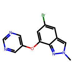 Cn1cc2cc(Br)cc(Oc3cncnc3)c2n1